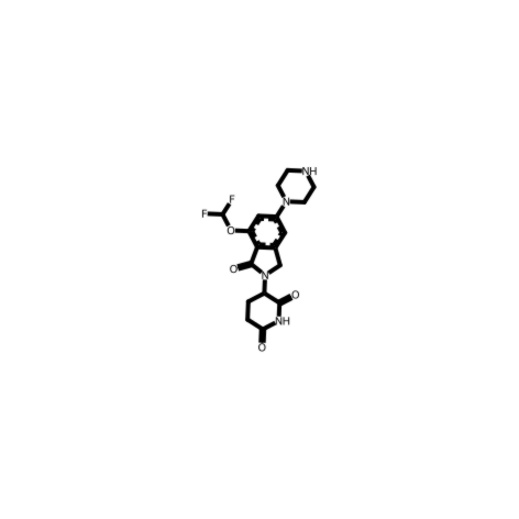 O=C1CCC(N2Cc3cc(N4CCNCC4)cc(OC(F)F)c3C2=O)C(=O)N1